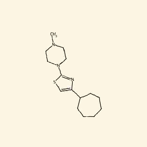 CN1CCN(c2nc(C3CCCCCC3)cs2)CC1